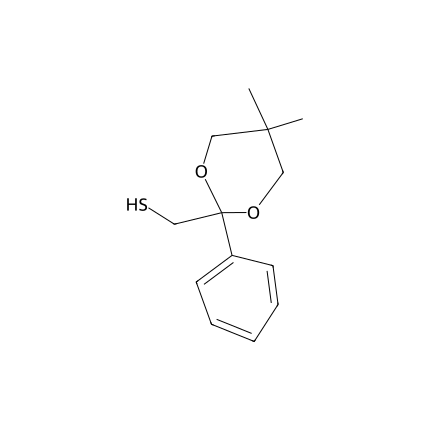 CC1(C)COC(CS)(c2ccccc2)OC1